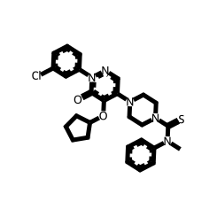 CN(C(=S)N1CCN(c2cnn(-c3cccc(Cl)c3)c(=O)c2OC2CCCC2)CC1)c1ccccc1